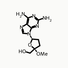 CO[C@]1(CO)CC[C@H](n2cnc3c(N)nc(N)nc32)O1